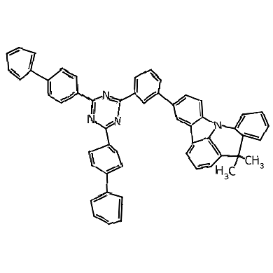 CC1(C)c2ccccc2-n2c3ccc(-c4cccc(-c5nc(-c6ccc(-c7ccccc7)cc6)nc(-c6ccc(-c7ccccc7)cc6)n5)c4)cc3c3cccc1c32